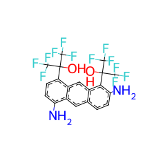 Nc1ccc2cc3c(N)ccc(C(O)(C(F)(F)F)C(F)(F)F)c3cc2c1C(O)(C(F)(F)F)C(F)(F)F